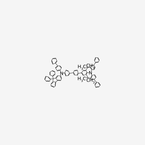 CC1(C)c2cc(-c3ccccc3)ccc2N2c3ccc(-c4ccccc4)cc3C(C)(C)c3cc(-c4ccc(-c5ccc(N(c6ccc(-c7ccccc7)cc6)c6ccc7c(c6)C(c6ccccc6)(c6ccccc6)c6ccccc6-7)cc5)cc4)cc1c32